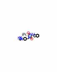 CC(C)C[C@@H]1C(=O)N[C@H](C2Cc3ccccc3C2)C(=O)N1Cc1ccc(-n2ccnn2)cc1